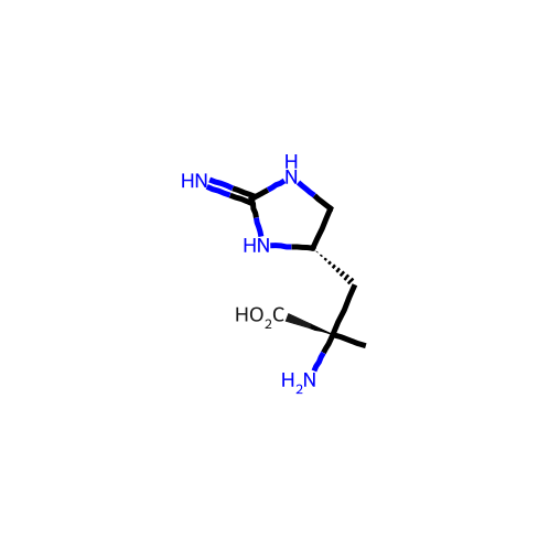 C[C@](N)(C[C@H]1CNC(=N)N1)C(=O)O